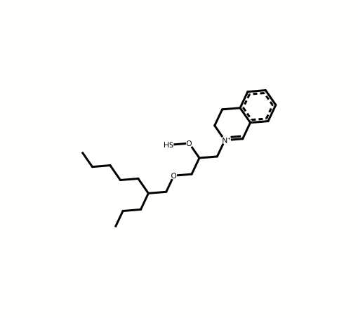 CCCCCC(CCC)COCC(C[N+]1=Cc2ccccc2CC1)OS